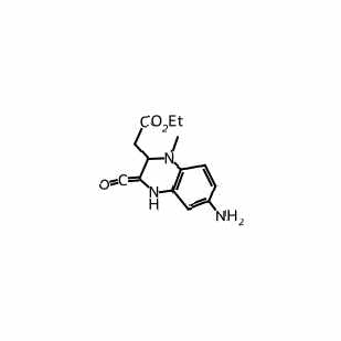 CCOC(=O)CC1C(=C=O)Nc2cc(N)ccc2N1C